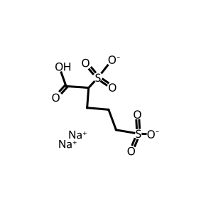 O=C(O)C(CCCS(=O)(=O)[O-])S(=O)(=O)[O-].[Na+].[Na+]